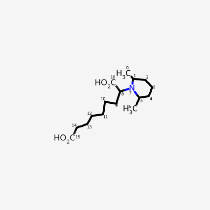 CC1CCCC(C)N1C(CCCCCCC(=O)O)C(=O)O